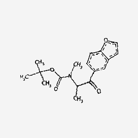 CC(C(=O)c1ccc2occc2c1)N(C)C(=O)OC(C)(C)C